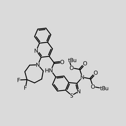 CC(C)(C)OC(=O)N(C(=O)OC(C)(C)C)c1nsc2ccc(NC(=O)c3cc4ccccc4nc3N3CCCC(F)(F)CC3)cc12